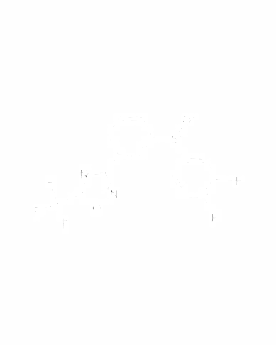 [O-][S+](c1[c]ccc(-c2noc(C(F)(F)F)n2)c1)c1ccc(F)c(F)c1